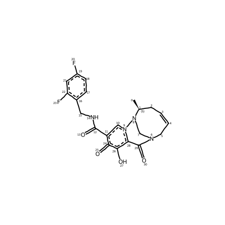 C[C@H]1CC=CCN2CN1n1cc(C(=O)NCc3ccc(F)cc3F)c(=O)c(O)c1C2=O